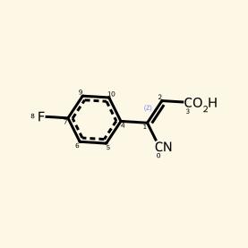 N#C/C(=C\C(=O)O)c1ccc(F)cc1